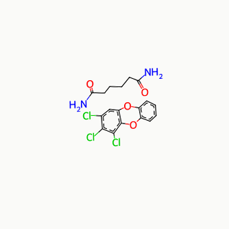 Clc1cc2c(c(Cl)c1Cl)Oc1ccccc1O2.NC(=O)CCCCC(N)=O